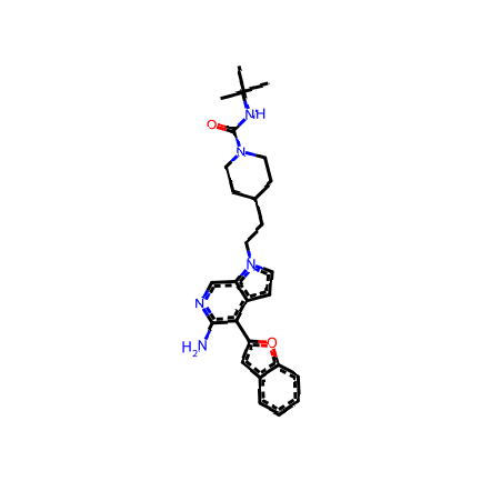 CC(C)(C)NC(=O)N1CCC(CCn2ccc3c(-c4cc5ccccc5o4)c(N)ncc32)CC1